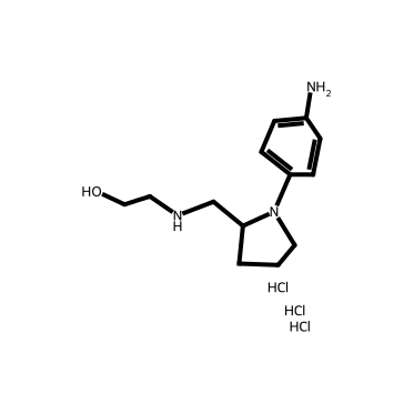 Cl.Cl.Cl.Nc1ccc(N2CCCC2CNCCO)cc1